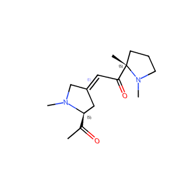 CC(=O)[C@@H]1C/C(=C\C(=O)[C@]2(C)CCCN2C)CN1C